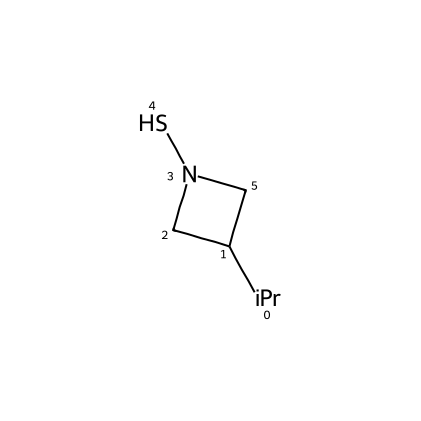 CC(C)C1CN(S)C1